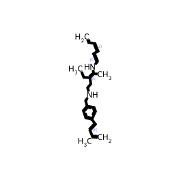 C=C/C=C\C=C\N/C(C)=C(\CC)CCNCc1ccc(/C=C/C(=C)C)cc1